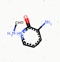 NC=O.Nc1ccc[nH]c1=O